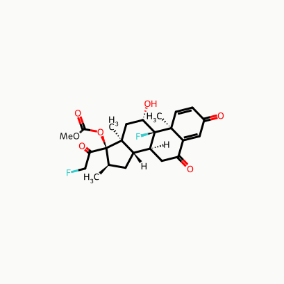 COC(=O)O[C@]1(C(=O)CF)[C@H](C)C[C@H]2[C@@H]3CC(=O)C4=CC(=O)C=C[C@]4(C)[C@@]3(F)[C@@H](O)C[C@@]21C